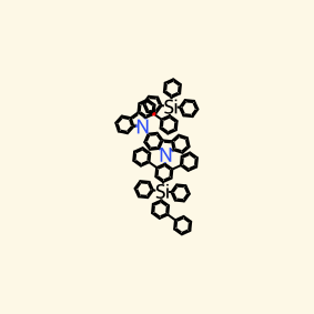 c1ccc(-c2cccc([Si](c3ccccc3)(c3ccccc3)c3cc(-c4ccccc4)c(-n4c5ccccc5c5cc(-n6c7ccccc7c7cccc(-c8ccccc8[Si](c8ccccc8)(c8ccccc8)c8ccccc8)c76)ccc54)c(-c4ccccc4)c3)c2)cc1